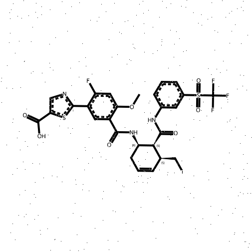 COc1cc(F)c(-c2ncc(C(=O)O)s2)cc1C(=O)N[C@@H]1CC=C[C@H](CI)[C@@H]1C(=O)Nc1cccc(S(=O)(=O)C(F)(F)F)c1